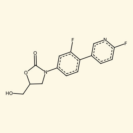 O=C1OC(CO)CN1c1ccc(-c2ccc(F)nc2)c(F)c1